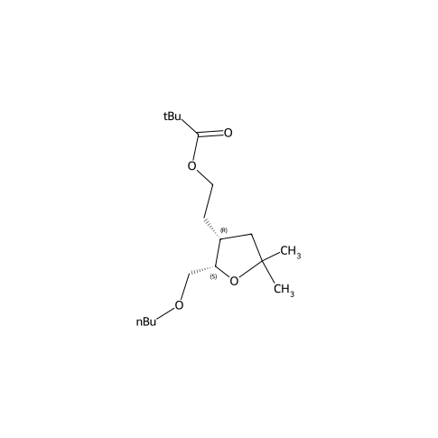 CCCCOC[C@H]1OC(C)(C)C[C@H]1CCOC(=O)C(C)(C)C